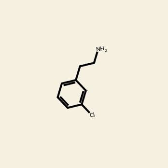 NCCc1[c]c(Cl)ccc1